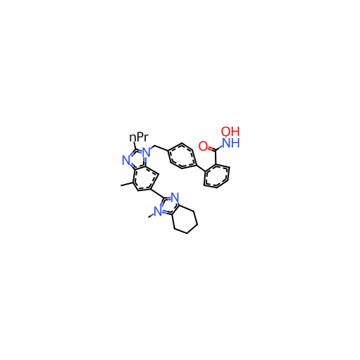 CCCc1nc2c(C)cc(-c3nc4c(n3C)CCCC4)cc2n1Cc1ccc(-c2ccccc2C(=O)NO)cc1